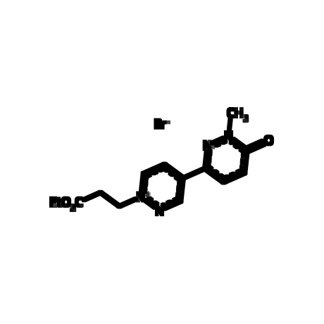 CCOC(=O)CC[n+]1ccc(-c2ccc(=O)n(C)n2)cn1.[Br-]